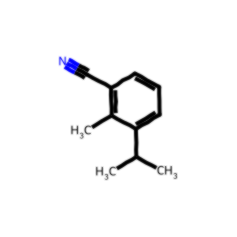 Cc1c(C#N)cccc1C(C)C